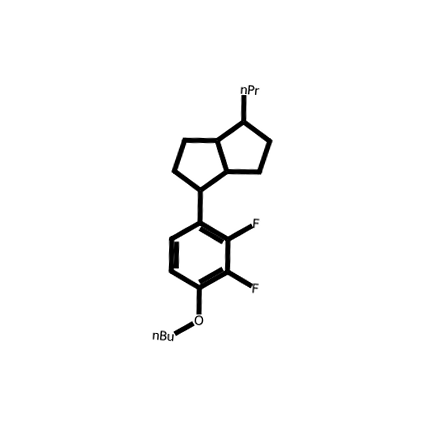 CCCCOc1ccc(C2CCC3C(CCC)CCC23)c(F)c1F